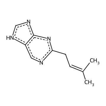 CC(C)=CCc1ncc2[nH]cnc2n1